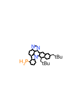 CC(C)(C)Cc1ccc2c(CC(C)(C)C)c3c(cc2c1)c1ncnc2ccc4c5c(P)cccc5n3c4c21